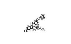 COCCOC(=O)N1CCc2c([nH]c3ccc(Cl)cc23)C1c1ccc(OCCn2ccnc2)cc1